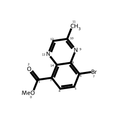 COC(=O)c1ccc(Br)c2nc(C)cnc12